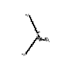 CCCCCCCCC=CCCCCCCCC(=O)OCC(CNS(=O)(=O)OCCN(C)C)OC(=O)CCCCCCCC=CCCCCCCCC